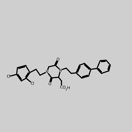 O=C(O)CC1C(=O)N(CCc2ccc(Cl)cc2Cl)CC(=O)N1CCc1ccc(-c2ccccc2)cc1